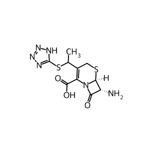 CC(Sc1nnn[nH]1)C1=C(C(=O)O)N2C(=O)[C@@H](N)[C@@H]2SC1